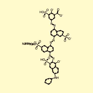 O=C([O-])c1cc(N=Nc2ccc(N=Nc3ccc(N=Nc4c(S(=O)(=O)O)cc5cc(Nc6ccccc6)ccc5c4[O-])c4ccc(S(=O)(=O)[O-])cc34)c3cc(S(=O)(=O)[O-])ccc23)cc(S(=O)(=O)O)c1[O-].[Na+].[Na+].[Na+].[Na+].[Na+]